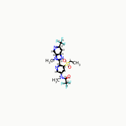 CCS(=O)(=O)c1cc(N(C)C(=O)C(F)(F)F)cnc1-c1nc2cc(C(F)(F)F)ncc2n1C